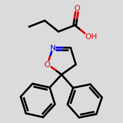 C1=NOC(c2ccccc2)(c2ccccc2)C1.CCCC(=O)O